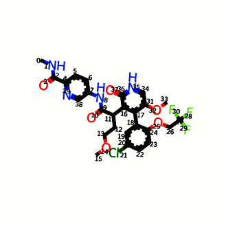 CNC(=O)c1ccc(NC(=O)C(CCOC)c2c(-c3cc(Cl)ccc3OCC(F)(F)F)c(OC)c[nH]c2=O)cn1